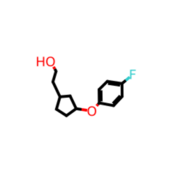 OCCC1CCC(Oc2ccc(F)cc2)C1